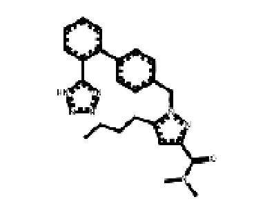 CCCCc1cc(C(=O)N(C)C)nn1Cc1ccc(-c2ccccc2-c2nnn[nH]2)cc1